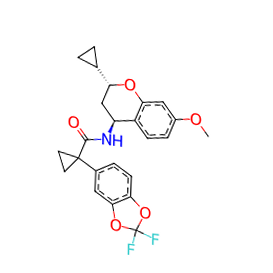 COc1ccc2c(c1)O[C@@H](C1CC1)C[C@@H]2NC(=O)C1(c2ccc3c(c2)OC(F)(F)O3)CC1